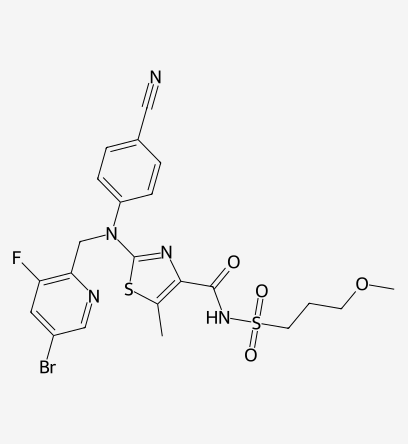 COCCCS(=O)(=O)NC(=O)c1nc(N(Cc2ncc(Br)cc2F)c2ccc(C#N)cc2)sc1C